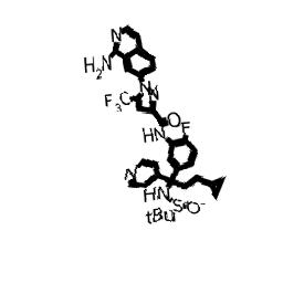 CC(C)(C)[S+]([O-])NC(CCC1CC1)(c1ccncc1)c1ccc(F)c(NC(=O)c2cc(C(F)(F)F)n(-c3ccc4ccnc(N)c4c3)n2)c1